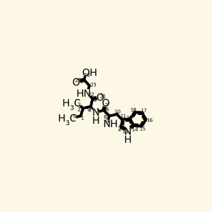 CCC(C)[C@H](NC(=O)C(N)Cc1c[nH]c2ccccc12)C(=O)NCC(=O)O